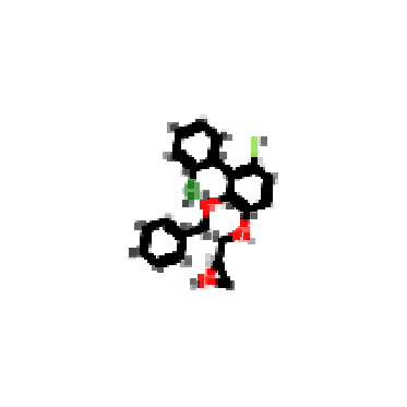 Fc1ccc(OC[C@H]2CO2)c(OCc2ccccc2)c1-c1ccccc1Cl